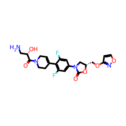 NC[C@H](O)C(=O)N1CC=C(c2c(F)cc(N3C[C@H](COc4ccon4)OC3=O)cc2F)CC1